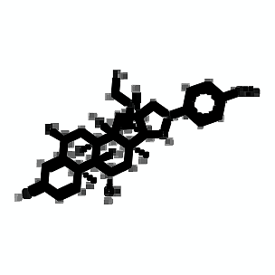 COc1ccc(N2C[C@@H]3C[C@H]4[C@@H]5C[C@H](F)C6=CC(=O)C=C[C@]6(C)[C@@]5(F)[C@@H](O)C[C@]4(C)[C@]3(C(=O)SCF)O2)cc1